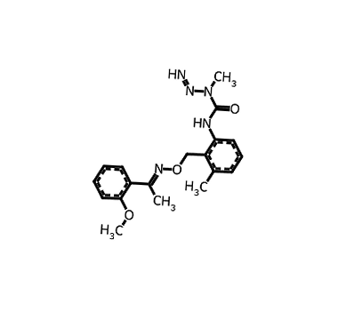 COc1ccccc1C(C)=NOCc1c(C)cccc1NC(=O)N(C)N=N